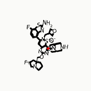 Nc1nc2c(C3=Cc4nc(OC[C@@]56CCCN5C[C@H](F)C6)nc(N5C6CNCC5COC6)c4[S+]([O-])N3CC3COC3)ccc(F)c2s1